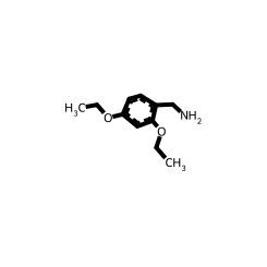 CCOc1ccc(CN)c(OCC)c1